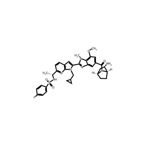 COc1cc(C(=O)N2[C@H]3CC[C@@H]2[C@H](N)C3)cc2nc(-c3cc4ccc([C@@H](C)NS(=O)(=O)c5ccc(F)cc5)nc4n3CC3CC3)n(C)c12